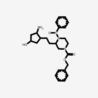 NC1CC(O)CC1CCC1CN(C(=O)OCc2ccccc2)CCN1[S+]([O-])c1ccccc1